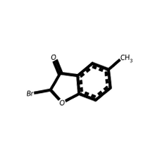 Cc1ccc2c(c1)C(=O)C(Br)O2